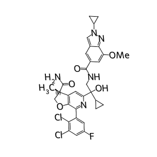 COc1cc(C(=O)NCC(O)(c2cc3c(c(-c4cc(F)cc(Cl)c4Cl)n2)OC[C@]3(C)C(N)=O)C2CC2)cc2cn(C3CC3)nc12